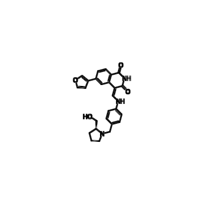 O=C1NC(=O)c2ccc(-c3ccoc3)cc2/C1=C/Nc1ccc(CN2CCC[C@H]2CO)cc1